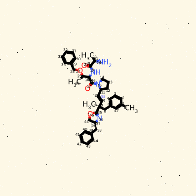 Cc1cccc(C[C@](C)(/C=C/C2CCCN2C(=O)C(NC(=O)C(C)N)C(C)OCc2ccccc2)C2=N[C@@H](Cc3ccccc3)CO2)c1